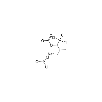 CC(C)C(OC(=O)[O-])C(Cl)(Cl)Cl.ClP(Cl)Cl.[Na+]